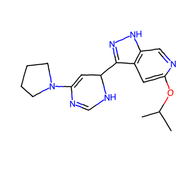 CC(C)Oc1cc2c(C3C=C(N4CCCC4)N=CN3)n[nH]c2cn1